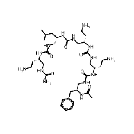 CC(=O)N[C@H](CNC(=O)N[C@@H](CCN)CNC(=O)N[C@@H](CCN)CNC(=O)N[C@H](CNC(=O)N[C@@H](CCN)CNC(N)=O)CC(C)C)Cc1ccccc1